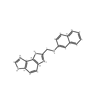 c1ccc2cc(OCc3nc4ccc5scnc5c4s3)ccc2c1